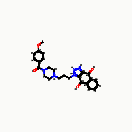 COc1ccc(C(=O)N2CCN(CCCn3nnc4c3C(=O)c3ccccc3C4=O)CC2)cc1